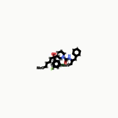 CNCC(CC1CCCCC1)NC(=O)N1CCC[C@@H]([C@@](O)(CCCCOC)c2cc(F)cc(Cl)c2)C1